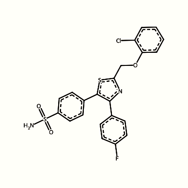 NS(=O)(=O)c1ccc(-c2sc(COc3ccccc3Cl)nc2-c2ccc(F)cc2)cc1